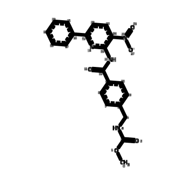 COC(=O)NCc1ccc(C(=O)Nc2nc(-c3ccccc3)ccc2[N+](=O)[O-])cc1